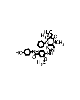 CC[C@@]1(C)CN(C2CCCCC2)c2nc(Nc3ccc(C(=O)NC4CCC(O)CC4)cc3OC)ncc2N(C)C1=O